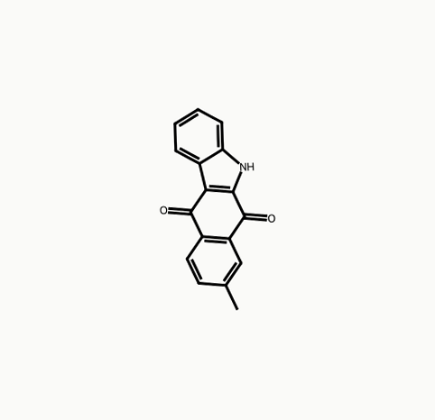 Cc1ccc2c(c1)C(=O)c1[nH]c3ccccc3c1C2=O